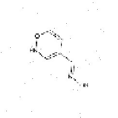 ON=CC1=CNOC=C1